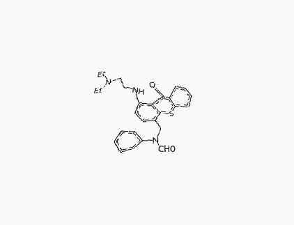 CCN(CC)CCNc1ccc(CN(C=O)c2ccccc2)c2sc3ccccc3c(=O)c12